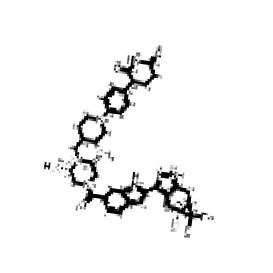 C[C@@H]1CN(C(=O)c2ccc3cc(-c4n[nH]c5c4C[C@@H]4C(F)(F)[C@]4(C)C5)[nH]c3c2)C[C@H](C)N1CC1CCN(c2ccc(C3CCC(=O)NC3=O)cc2)CC1